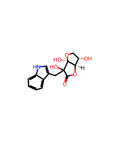 O=C1O[C@@H]2[C@@H](O)CO[C@]2(O)C1(O)Cc1c[nH]c2ccccc12